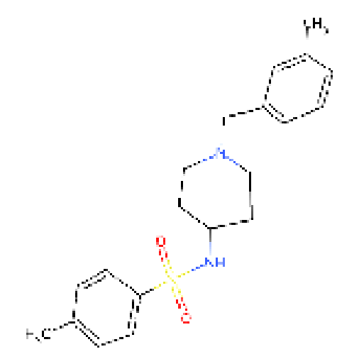 Cc1ccc(S(=O)(=O)NC2CCN(Cc3cccc(C)c3)CC2)cc1